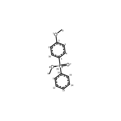 COc1ccc([P@@](=O)(OC)c2ccccc2)cc1